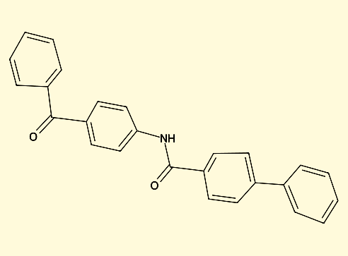 O=C(Nc1ccc(C(=O)c2ccccc2)cc1)c1ccc(-c2ccccc2)cc1